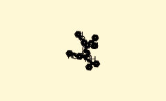 O=C(/C=C\C(=O)OC(CNCCC(c1ccccc1)c1ccccc1)c1ccc(OCc2ccccn2)cc1)OC(CNCCC(c1ccccc1)c1ccccc1)c1ccc(OCc2ccccn2)cc1